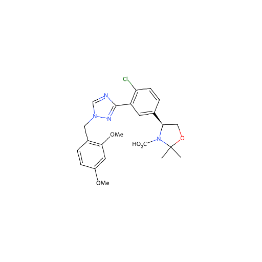 COc1ccc(Cn2cnc(-c3cc([C@H]4COC(C)(C)N4C(=O)O)ccc3Cl)n2)c(OC)c1